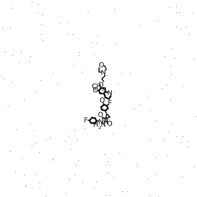 COc1cc2c(Oc3ccc(C4C[C@@]4(C(N)=O)C(=O)Nc4ccc(F)cc4)cc3F)ccnc2cc1OCCCN1CCOCC1